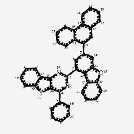 c1ccc(-c2nc(-c3cc(-c4cc5ccccc5c5ccccc45)cc4oc5ccccc5c34)nc3c2sc2ccccc23)cc1